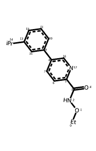 CCONC(=O)c1ccc(-c2cccc(C(C)C)c2)cn1